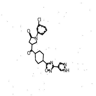 O=C(C1CCC(c2nc(-c3cn[nH]c3)no2)CC1)C1CC(=O)N(c2cccc(Cl)c2)C1